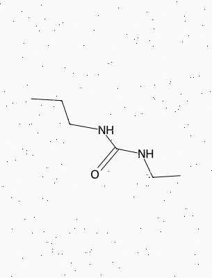 C[CH]NC(=O)NCCC